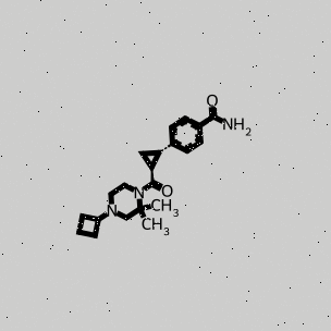 CC1(C)CN(C2CCC2)CCN1C(=O)[C@H]1C[C@@H]1c1ccc(C(N)=O)cc1